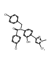 Cn1nc(-c2ccc(N(Cc3ccc(Cl)cc3)C(=O)c3ccc(Cl)cc3)cc2O)cc1C(F)(F)F